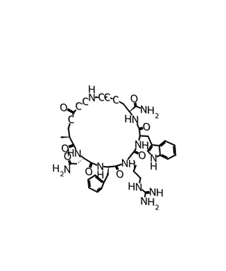 C[C@H]1CCC(=O)CCNCCCC[C@@H](C(N)=O)NC(=O)C(Cc2c[nH]c3ccccc23)NC(=O)[C@H](CCCNC(=N)N)NC(=O)[C@@H](Cc2ccccc2)NC(=O)[C@H](CC(N)=O)NC1=O